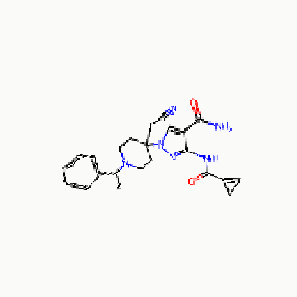 CC(c1ccccc1)N1CCC(CC#N)(n2cc(C(N)=O)c(NC(=O)C3=CC3)n2)CC1